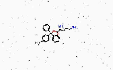 Cc1ccc(C(OC(=O)[C@H](N)CCCN)(c2ccccc2)c2ccccc2)cc1